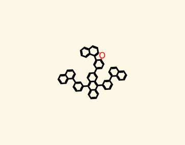 c1cc(-c2cccc3ccccc23)cc(-c2c3ccccc3c(-c3cccc(-c4cccc5ccccc45)c3)c3cc(-c4ccc5oc6ccc7ccccc7c6c5c4)ccc23)c1